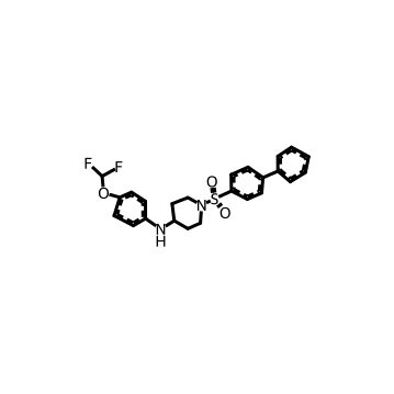 O=S(=O)(c1ccc(-c2ccccc2)cc1)N1CCC(Nc2ccc(OC(F)F)cc2)CC1